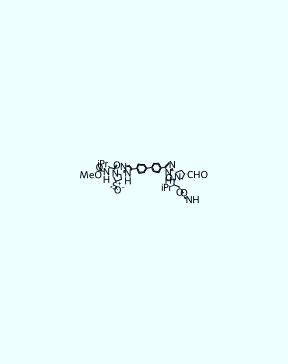 COC(=O)N[C@H](C(=O)N1C[C@@H]([S+](C)[O-])C[C@H]1c1ncc(-c2ccc(-c3ccc(-c4cnc([C@@H]5C[C@H](C=O)CN5C(=O)[C@@H](COOC=N)C(C)C)[nH]4)cc3)cc2)[nH]1)C(C)C